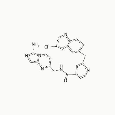 Nc1ncc2nc(CNC(=O)c3ccnc(Cc4ccc5ncc(Cl)cc5c4)c3)ccn12